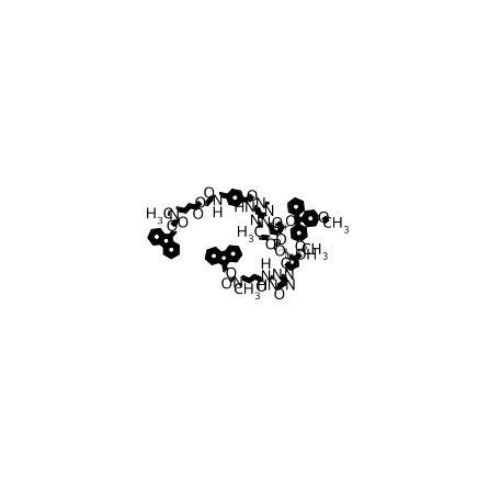 CCCOP(OC[C@H]1O[C@@H](n2cnc3c(=O)[nH]c(NC(=O)CCCN(C)C(=O)OCC4c5ccccc5-c5ccccc54)nc32)CC1O)OC1C[C@H](n2cnc3c(NC(=O)c4ccc(CNC(=O)COC(=O)CCCN(C)C(=O)OCC5c6ccccc6-c6ccccc65)cc4)ncnc32)O[C@@H]1COC(c1ccccc1)(c1ccc(OC)cc1)c1ccc(OC)cc1